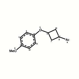 COc1ccc(OC2CN(C(C)=O)C2)cc1